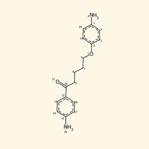 Nc1ccc(OCCCCC(=O)c2ccc(N)cc2)cc1